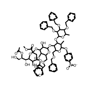 COC(=O)C1(OC2C(O)C(COCc3ccccc3)OC(OC3C(COCc4ccccc4)OC(Oc4ccc([N+](=O)[O-])cc4)C(C)C3OC3OC(C)C(OCc4ccccc4)C(OCc4ccccc4)C3OCc3ccccc3)C2O)CC(OC(C)=O)C(N)C([C@H](O)[C@@H](CO)OC(C)=O)O1